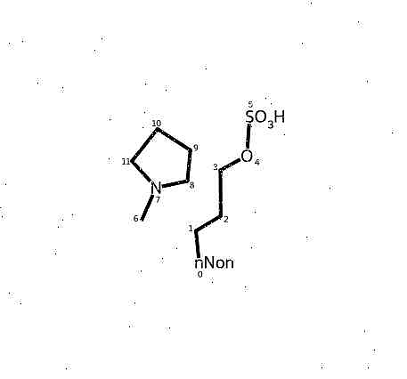 CCCCCCCCCCCCOS(=O)(=O)O.CN1CCCC1